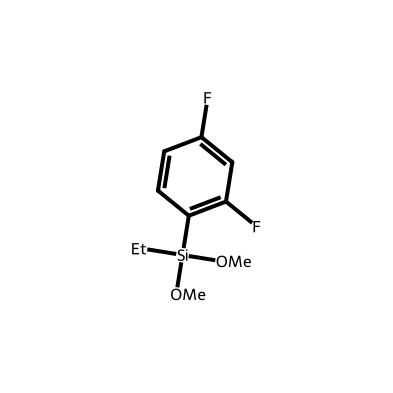 CC[Si](OC)(OC)c1ccc(F)cc1F